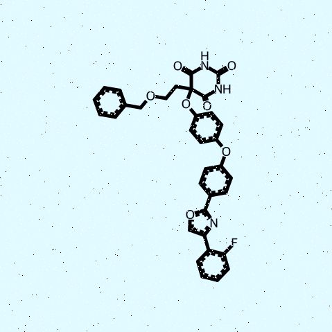 O=C1NC(=O)C(CCOCc2ccccc2)(Oc2ccc(Oc3ccc(-c4nc(-c5ccccc5F)co4)cc3)cc2)C(=O)N1